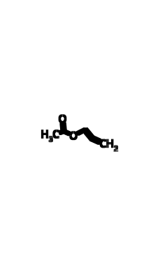 C=C=COC(C)=O